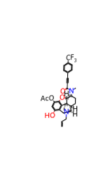 C=CCN1CC[C@]23c4c5c(O)cc(OC(C)=O)c4O[C@H]2[C@H](N(C)C(=O)C#Cc2ccc(C(F)(F)F)cc2)CC[C@H]3[C@H]1C5